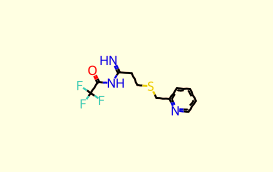 N=C(CCSCc1ccccn1)NC(=O)C(F)(F)F